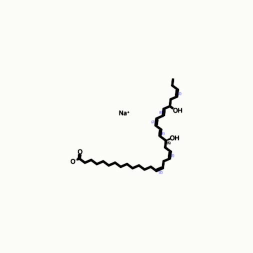 CC/C=C\CC(O)/C=C/C=C\C=C\[C@@H](O)C/C=C\C/C=C\CCCCCCCCCCCCC(=O)[O-].[Na+]